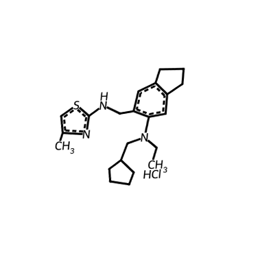 CCN(CC1CCCC1)c1cc2c(cc1CNc1nc(C)cs1)CCC2.Cl